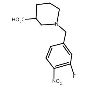 O=C(O)C1CCCN(Cc2ccc([N+](=O)[O-])c(F)c2)C1